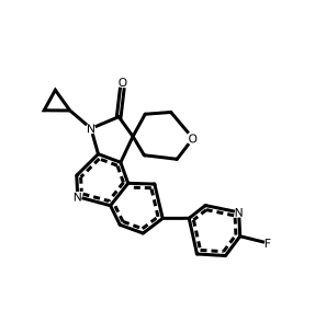 O=C1N(C2CC2)c2cnc3ccc(-c4ccc(F)nc4)cc3c2C12CCOCC2